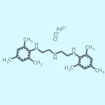 Cc1cc(C)c(NCCNCCNc2c(C)cc(C)cc2C)c(C)c1.[Cl-].[Cl-].[Pd+2]